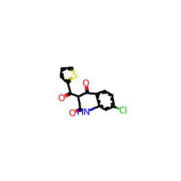 O=C1Nc2cc(Cl)ccc2C(=O)C1C(=O)c1cccs1